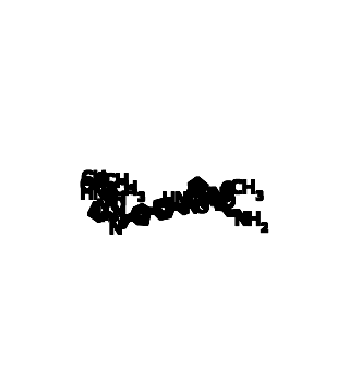 COC(=O)N[C@@H](CCCCN)C(=O)N1CCC[C@H]1c1ncc(-c2ccc(-c3ccc(-c4cnc([C@@H]5CCCN5C(=O)[C@@H](NC(=O)OC)C(C)C)[nH]4)cc3)cc2)[nH]1